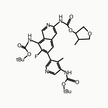 Cc1c(NC(=O)OC(C)(C)C)cncc1-c1cc2cc(NC(=O)OC3COCC3C)ncc2c(NC(=O)OC(C)(C)C)c1F